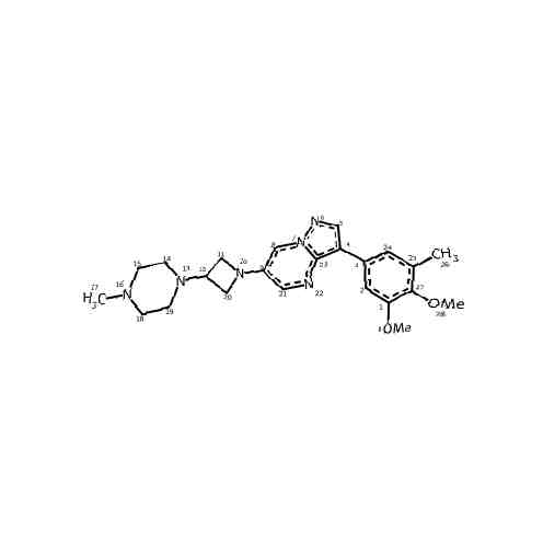 COc1cc(-c2cnn3cc(N4CC(N5CCN(C)CC5)C4)cnc23)cc(C)c1OC